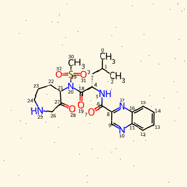 CC(C)C[C@H](NC(=O)c1cnc2ccccc2n1)C(=O)N(C1CCCNCC1=O)S(C)(=O)=O